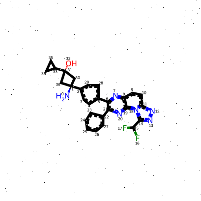 N[C@]1(c2ccc(-c3nc4ccc5nnc(C(F)F)n5c4nc3-c3ccccc3)cc2)C[C@](O)(C2CC2)C1